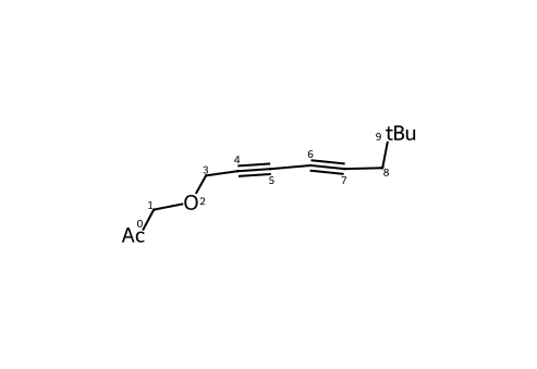 CC(=O)COCC#CC#CCC(C)(C)C